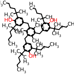 CCCCC(C)(C)c1cc(Cc2c(C)c(Cc3cc(C(C)(C)CCCC)c(O)c(C(C)(C)CCCC)c3)c(C)c(Cc3cc(C(C)(C)CCCC)c(O)c(C(C)(C)CCCC)c3)c2C)cc(C(C)(C)CCCC)c1O